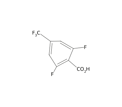 O=C(O)c1c(F)cc(C(F)(F)F)cc1F